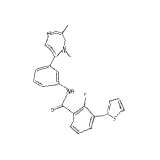 Cc1ncc(-c2cccc(NC(=O)c3cccc(-c4cccs4)c3F)c2)n1C